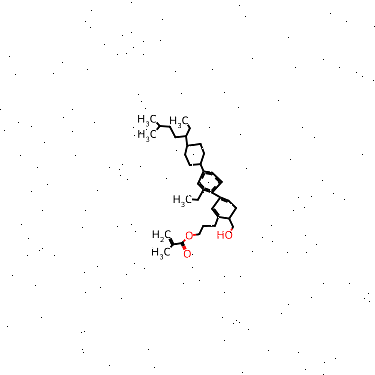 C=C(C)C(=O)OCCCC1=CC(c2ccc(C3CCC(C(CC)CCC(C)C)CC3)cc2CC)=CCC1CO